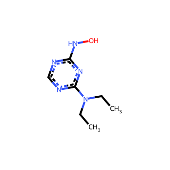 CCN(CC)c1ncnc(NO)n1